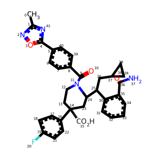 Cc1noc(-c2ccc(C(=O)N3CCC(C(=O)O)(c4ccc(F)cc4)CC3C(CC3CC3)c3ccccc3C(N)=O)cc2)n1